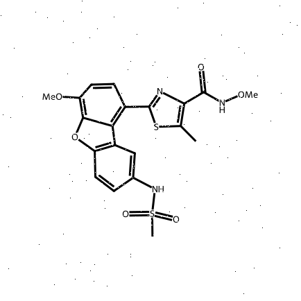 CONC(=O)c1nc(-c2ccc(OC)c3oc4ccc(NS(C)(=O)=O)cc4c23)sc1C